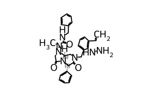 C=Cc1cccc(CN2C[C@H]3N(C(=O)CN3N(C)C(=O)NCc3ccccc3)[C@@H](c3ccccc3)C2=O)c1NN